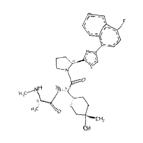 CN[C@@H](C)C(=O)N[C@H](C(=O)N1CCC[C@H]1c1nc(-c2ccc(F)c3ccccc23)cs1)[C@H]1CC[C@@](C)(O)CC1